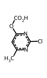 Cc1cc(OC(=O)O)nc(Cl)n1